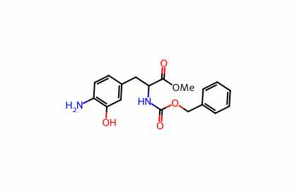 COC(=O)C(Cc1ccc(N)c(O)c1)NC(=O)OCc1ccccc1